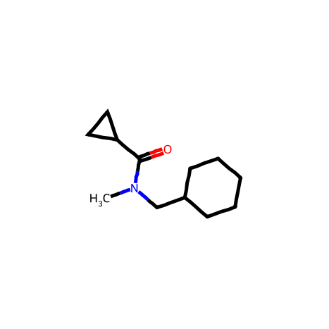 CN(CC1CCCCC1)C(=O)C1CC1